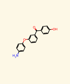 Nc1ccc(Oc2cccc(C(=O)c3ccc(O)cc3)c2)cc1